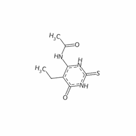 CCc1c(NC(C)=O)[nH]c(=S)[nH]c1=O